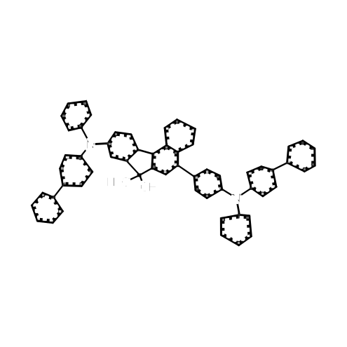 CC1(C)c2cc(N(c3ccccc3)c3ccc(-c4ccccc4)cc3)ccc2-c2c1cc(-c1ccc(N(c3ccccc3)c3ccc(-c4ccccc4)cc3)cc1)c1ccccc21